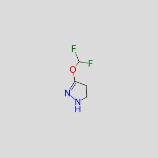 FC(F)OC1=NNCC1